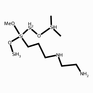 CO[Si](CCCNCCN)(O[SiH3])[SiH2]O[SiH](C)C